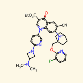 CCOC(=O)c1cn(-c2ccc(N3CC(N(C)C)C3)nc2)c2cc(N3C4CCC3(COc3ncccc3F)CC4)c(C#N)cc2c1=O